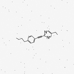 CCCCc1ccc(C#Cc2ncc(CC)cn2)cc1